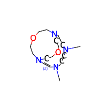 CN1/C=C\N2CCOCCN(CCOCC2)CCN(C)CCC1